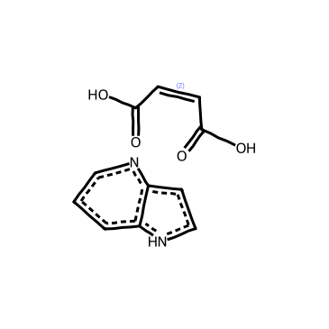 O=C(O)/C=C\C(=O)O.c1cnc2cc[nH]c2c1